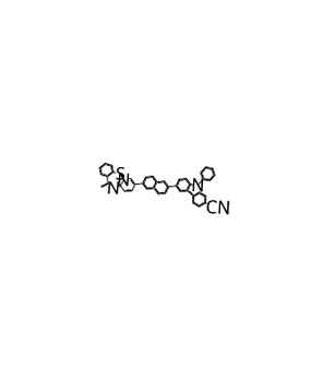 C=C1N=C2C=CC(c3ccc4cc(-c5ccc6c(c5)c5ccc(C#N)cc5n6-c5ccccc5)ccc4c3)=CN2Sc2ccccc21